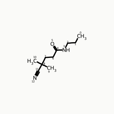 CCCNC(=O)CCC(C)(C)C#N